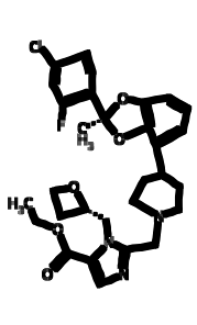 CCOC(=O)c1cnc(CN2CCC(c3cccc4c3O[C@@](C)(c3ccc(Cl)cc3F)O4)CC2)n1C[C@@H]1CCO1